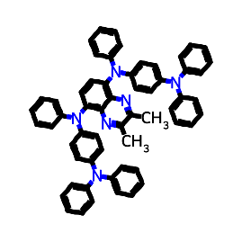 Cc1nc2c(N(c3ccccc3)c3ccc(N(c4ccccc4)c4ccccc4)cc3)ccc(N(c3ccccc3)c3ccc(N(c4ccccc4)c4ccccc4)cc3)c2nc1C